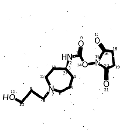 O=C(N[C@H]1CCCN(CCCO)CC1)ON1C(=O)CCC1=O